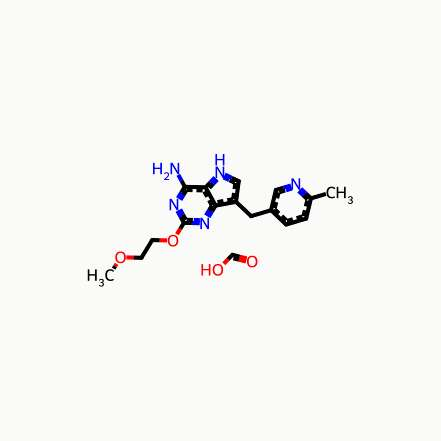 COCCOc1nc(N)c2[nH]cc(Cc3ccc(C)nc3)c2n1.O=CO